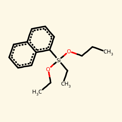 CCCO[Si](CC)(OCC)c1cccc2ccccc12